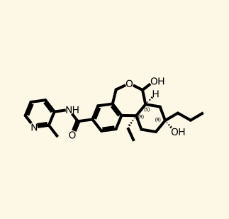 CCC[C@@]1(O)CC[C@@]2(CC)c3ccc(C(=O)Nc4cccnc4C)cc3COC(O)[C@H]2C1